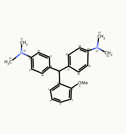 COc1ccccc1C(c1ccc(N(C)C)cc1)c1ccc(N(C)C)cc1